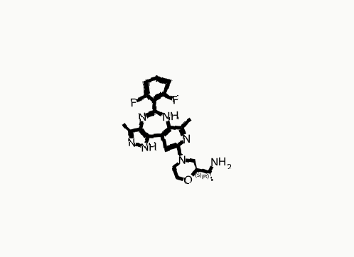 Cc1n[nH]c2c1N=C(c1c(F)cccc1F)Nc1c-2cc(N2CCO[C@H]([C@@H](C)N)C2)nc1C